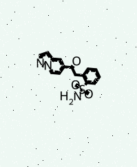 NS(=O)(=O)c1ccccc1CC(=O)c1ccn2nccc2c1